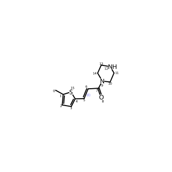 Cc1ccc(/C=C/C(=O)N2CCNCC2)s1